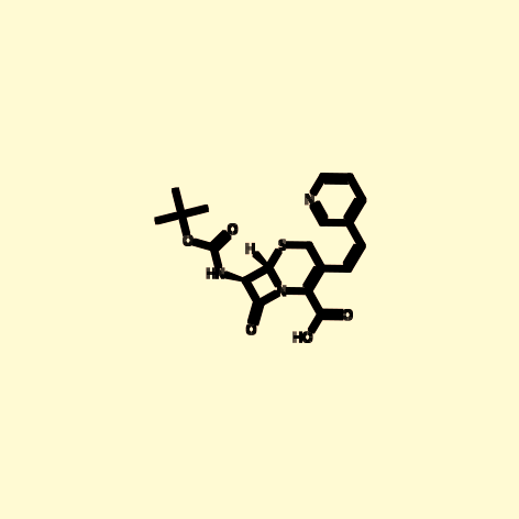 CC(C)(C)OC(=O)N[C@@H]1C(=O)N2C(C(=O)O)=C(/C=C\c3cccnc3)CS[C@@H]12